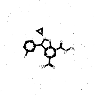 CNC(=O)c1cc(C(N)=O)cc2c1O[C@@H](C1CC1)C2c1cccc(F)c1